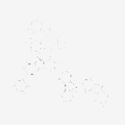 c1ccc(-c2ccc3c(c2)c2cc(-c4ccc5c(c4)c4ccccc4n5-c4ccc5oc6ccccc6c5c4)ccc2n3-c2ccc3c(c2)C2(c4ccccc4-3)C3CC4CC(C3)CC2C4)cc1